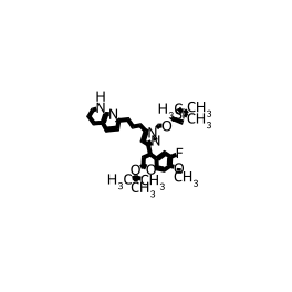 COc1ccc(C(CC(=O)OC(C)(C)C)c2cc(CCCc3ccc4c(n3)NCCC4)n(COCC[Si](C)(C)C)n2)cc1F